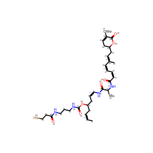 C/C=C\CC(C/C=C\NC(=O)C(NC(=O)\C=C/C=C\C(C)=C\CC1CC=C(OC)C(=O)O1)C(C)(C)C)OC(=O)NCCCNC(=O)CCS